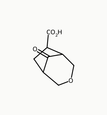 O=C(O)C1CC2COCC1C2=O